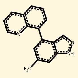 FC(F)(F)c1cc(-c2cccc3cccnc23)c2cn[nH]c2c1